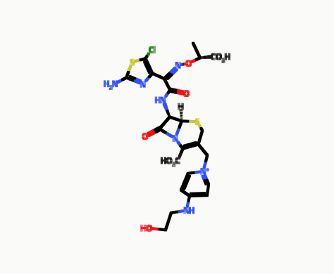 C[C@H](O/N=C(\C(=O)N[C@@H]1C(=O)N2C(C(=O)O)=C(C[n+]3ccc(NCCO)cc3)CS[C@H]12)c1nc(N)sc1Cl)C(=O)O